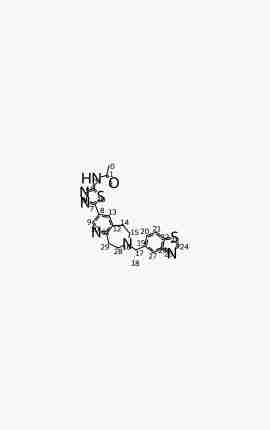 CC(=O)Nc1nnc(-c2cnc3c(c2)CCN([C@@H](C)c2ccc4scnc4c2)CC3)s1